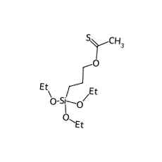 CCO[Si](CCCOC(C)=S)(OCC)OCC